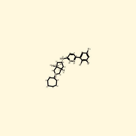 Fc1cc(F)c(F)c(-c2ccc(N[C@@H]3C[C@@H]4CN(C5CCCCCC5)C[C@@H]4C3)nn2)c1